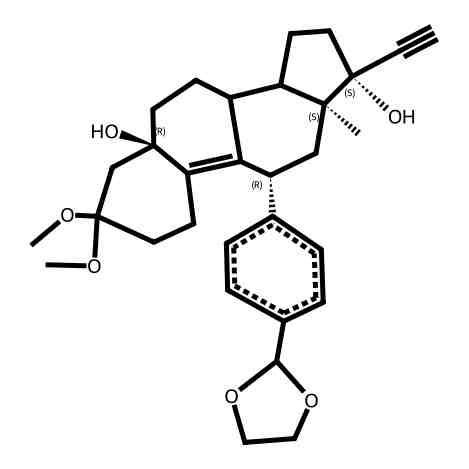 C#C[C@]1(O)CCC2C3CC[C@@]4(O)CC(OC)(OC)CCC4=C3[C@@H](c3ccc(C4OCCO4)cc3)C[C@@]21C